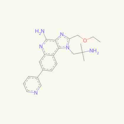 CCOCc1nc2c(N)nc3cc(-c4cccnc4)ccc3c2n1CC(C)(C)N